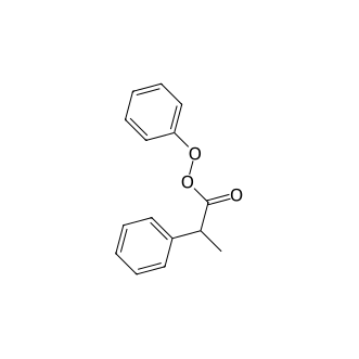 CC(C(=O)OOc1ccccc1)c1ccccc1